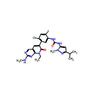 CCn1c(=O)c(-c2cc(NC(=O)Nc3cc(C(C)C)nn3C)c(F)cc2Cl)cc2cnc(NC)nc21